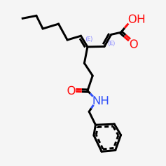 CCCCC/C=C(/C=C/C(=O)O)CCC(=O)NCc1ccccc1